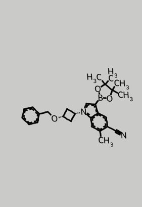 Cc1cc2c(cc1C#N)c(B1OC(C)(C)C(C)(C)O1)cn2[C@H]1C[C@@H](OCc2ccccc2)C1